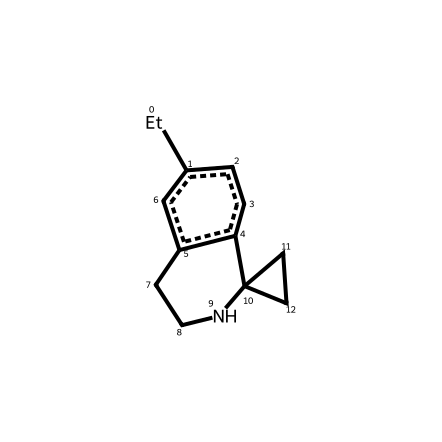 CCc1ccc2c(c1)CCNC21CC1